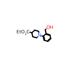 CCOC(=O)C1CCN(c2ccccc2CO)CC1